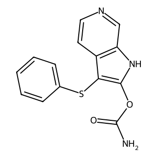 NC(=O)Oc1[nH]c2cnccc2c1Sc1ccccc1